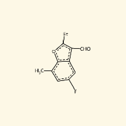 CCc1oc2c(C)cc(F)cc2c1C=O